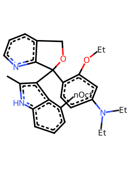 CCCCCCCCc1cccc2[nH]c(C)c(C3(c4ccc(N(CC)CC)cc4OCC)OCc4cccnc43)c12